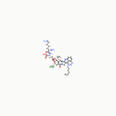 CCCCCN1C=Nc2cccc3nc4c(c1c23)Cn1c-4cc2c(c1=O)COC(=O)[C@@]2(CC)OC(=O)CC[C@@H](NC(=O)[C@@H](N)CCCCN)C(=O)O.Cl.Cl